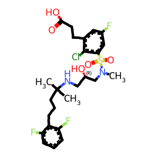 CN(C[C@H](O)CNC(C)(C)CCCc1c(F)cccc1F)S(=O)(=O)c1cc(F)cc(CCC(=O)O)c1Cl